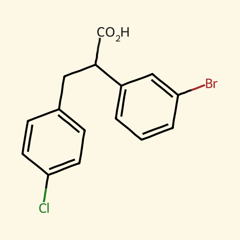 O=C(O)C(Cc1ccc(Cl)cc1)c1cccc(Br)c1